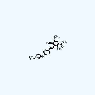 CCn1cc(Nc2ncc(CCc3c(C)c(C(N)=O)cc(OC)c3C#N)cn2)cn1